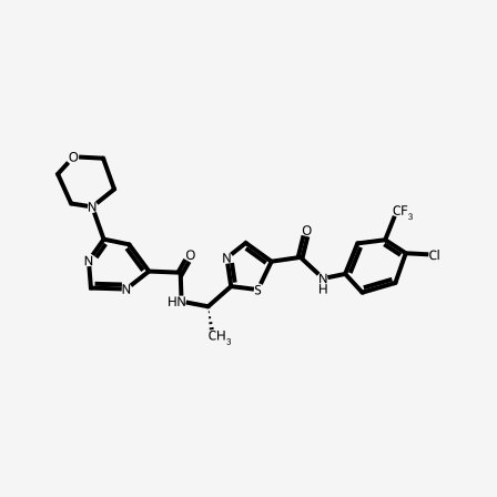 C[C@H](NC(=O)c1cc(N2CCOCC2)ncn1)c1ncc(C(=O)Nc2ccc(Cl)c(C(F)(F)F)c2)s1